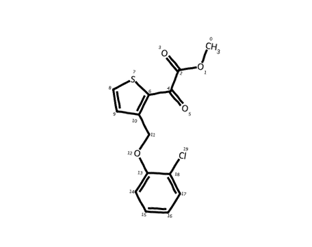 COC(=O)C(=O)c1sccc1COc1ccccc1Cl